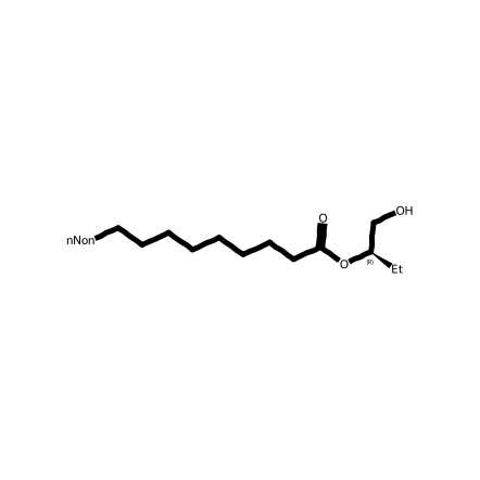 CCCCCCCCCCCCCCCCCC(=O)O[C@H](CC)CO